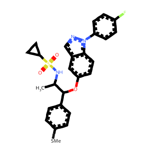 CSc1ccc(C(Oc2ccc3c(cnn3-c3ccc(F)cc3)c2)C(C)NS(=O)(=O)C2CC2)cc1